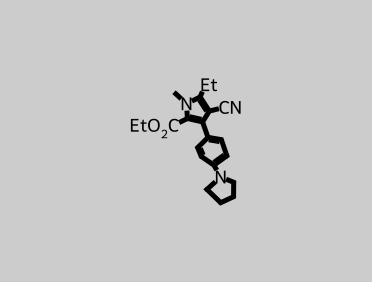 CCOC(=O)c1c(-c2ccc(N3CCCC3)cc2)c(C#N)c(CC)n1C